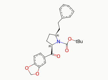 CC(C)(C)OC(=O)N1[C@H](CCc2ccccc2)CC[C@@H]1C(=O)c1ccc2c(c1)OCO2